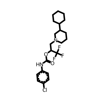 O=C(Nc1ccc(Cl)cc1)OC(CN1CCCC(C2CCCCC2)C1)C(F)(F)F